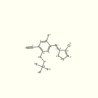 N#Cc1cc(F)c(/N=c2\ssnc2Cl)cc1SCC(F)(F)F